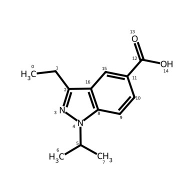 CCc1nn(C(C)C)c2ccc(C(=O)O)cc12